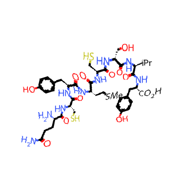 CSCC[C@H](NC(=O)[C@H](Cc1ccc(O)cc1)NC(=O)[C@H](CS)NC(=O)[C@@H](N)CCC(N)=O)C(=O)N[C@@H](CS)C(=O)N[C@H](CO)C(=O)N[C@H](C(=O)N[C@@H](Cc1ccc(O)cc1)C(=O)O)C(C)C